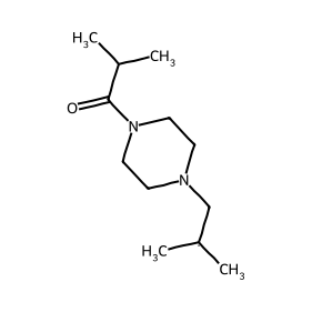 C[C](C)CN1CCN(C(=O)C(C)C)CC1